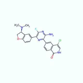 CN(C)[C@@H]1COc2ccc(-c3nc(-c4ccc5c(=O)[nH]cc(Cl)c5c4)c(N)nc3F)cc21